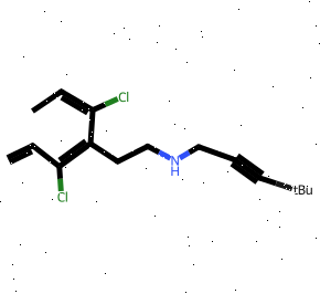 C=C/C(Cl)=C(CCNCC#CC(C)(C)C)\C(Cl)=C/C